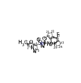 C[C@@H]1Cn2ncc(/[SH](=O)=N/C(=O)Nc3c4c(c(F)c5c3CCC5)CCC4)c2O1